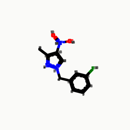 Cc1nn(Cc2cccc(F)c2)cc1[N+](=O)[O-]